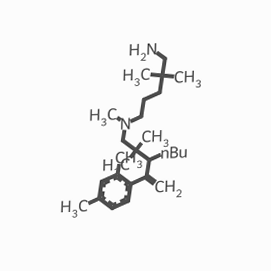 C=C(c1ccc(C)cc1C)C(CCCC)C(C)(C)CN(C)CCCC(C)(C)CN